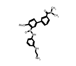 COc1ccc(-c2cccc(C(=O)N(C)C)c2)cc1[S+]([O-])Nc1cccc(NCCN)c1